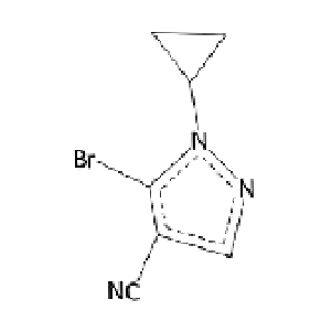 N#Cc1cnn(C2CC2)c1Br